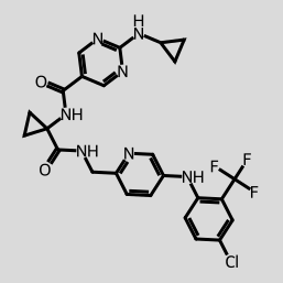 O=C(NC1(C(=O)NCc2ccc(Nc3ccc(Cl)cc3C(F)(F)F)cn2)CC1)c1cnc(NC2CC2)nc1